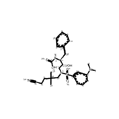 CN(C)c1cccc(S(=O)(=O)N(C[C@@H](O)[C@H](Cc2ccccc2)NC(=O)O)CC(C)(C)CCC#N)c1